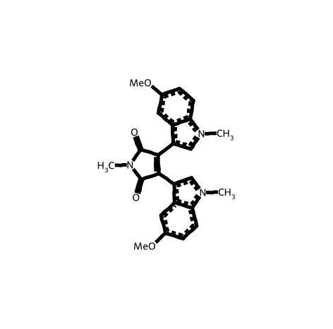 COc1ccc2c(c1)c(C1=C(c3cn(C)c4ccc(OC)cc34)C(=O)N(C)C1=O)cn2C